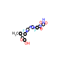 Cc1cccc(C2COc3cc(O)ccc3[C@H]2c2ccc(N3CCC(CN4CCN(c5cc6c(cc5F)C(=O)N(C5CCC(=O)NC5=O)C6)CC4)CC3)c(F)c2)c1